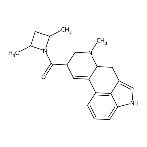 CC1CC(C)N1C(=O)C1C=C2c3cccc4[nH]cc(c34)CC2N(C)C1